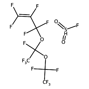 FC(F)=C(F)C(F)(F)OC(F)(OC(F)(F)C(F)(F)F)C(F)(F)F.O=[SH](=O)F